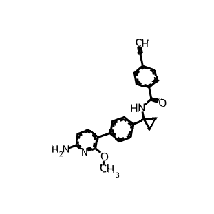 C#Cc1ccc(C(=O)NC2(c3ccc(-c4ccc(N)nc4OC)cc3)CC2)cc1